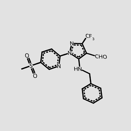 CS(=O)(=O)c1ccc(-n2nc(C(F)(F)F)c(C=O)c2NCc2ccccc2)nc1